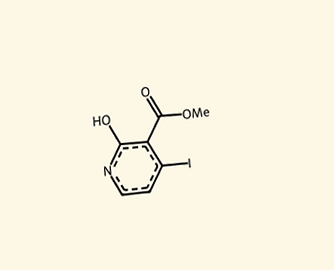 COC(=O)c1c(I)ccnc1O